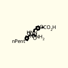 CCCCCc1ccc(C(=O)Nc2[nH]c(Cc3ccc(OCC(=O)O)cc3)nc2C(N)=O)cc1